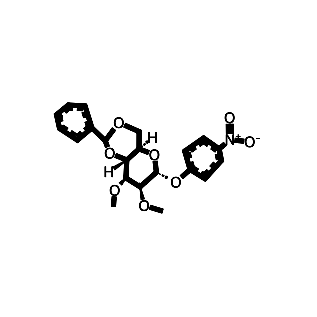 CO[C@@H]1[C@H](OC)[C@@H](Oc2ccc([N+](=O)[O-])cc2)O[C@@H]2COC(c3ccccc3)O[C@@H]12